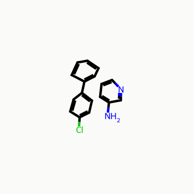 Clc1ccc(-c2ccccc2)cc1.Nc1cccnc1